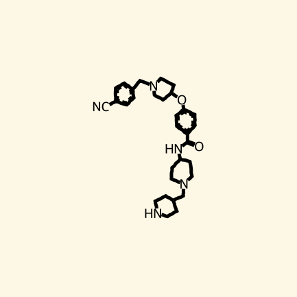 N#Cc1ccc(CN2CCC(Oc3ccc(C(=O)NC4CCN(CC5CCNCC5)CC4)cc3)CC2)cc1